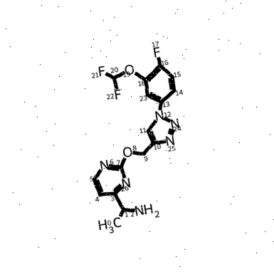 CC(N)c1ccnc(OCc2cn(-c3ccc(F)c(OC(F)F)c3)nn2)n1